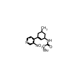 CC1[CH]C(NC(=O)OC(C)(C)C)C=C(c2ccncc2[N+](=O)[O-])C1